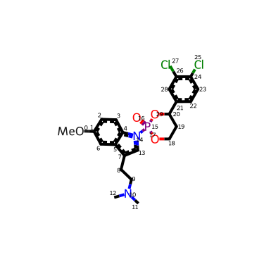 COc1ccc2c(c1)c(CCN(C)C)cn2P1(=O)OCCC(c2ccc(Cl)c(Cl)c2)O1